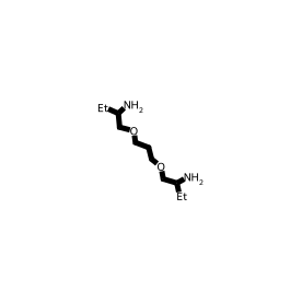 CCC(N)COCCCOCC(N)CC